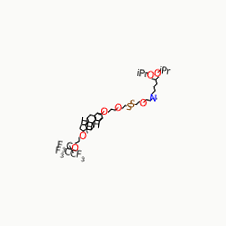 CC(C)OCC(CCCCN(C)CCOCCSSCCOCCCOc1ccc2c(c1)CC[C@@H]1[C@@H]2CC[C@]2(C)[C@@H](OCCCOC(C(F)(F)F)(C(F)(F)F)C(F)(F)F)CC[C@@H]12)COC(C)C